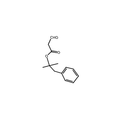 CC(C)(Cc1ccccc1)OC(=O)CC=O